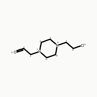 O=CCN1CCN(CCCl)CC1